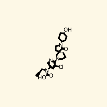 C#CCN(C(=O)O)c1cnc(N2CCC[C@@]3(CCN([C@H]4CC[C@H](O)CC4)C3=O)C2)c(Cl)c1